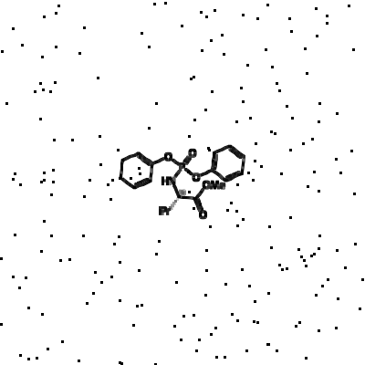 COC(=O)[C@@H](NP(=O)(OC1=CCCC=C1)Oc1ccccc1)C(C)C